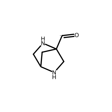 O=[C]C12CNC(CN1)C2